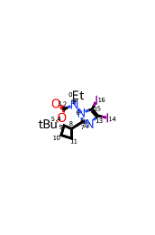 CCN(C(=O)OC(C)(C)C)n1c(C2CCC2)nc(I)c1I